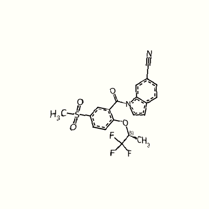 C[C@H](Oc1ccc(S(C)(=O)=O)cc1C(=O)n1ccc2ccc(C#N)cc21)C(F)(F)F